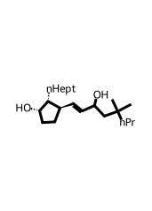 CCCCCCC[C@H]1[C@@H](O)CC[C@@H]1C=CC(O)CC(C)(C)CCC